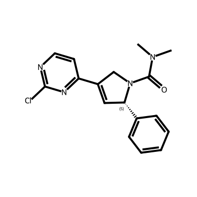 CN(C)C(=O)N1CC(c2ccnc(Cl)n2)=C[C@H]1c1ccccc1